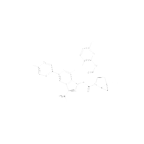 CC(=O)c1nn(CC(=O)N2[C@H](C(=O)Nc3nc(Br)ccc3C)C[C@@]3(C)C[C@@H]23)c2c(C)nc(-c3cnc(C)nc3)cc12